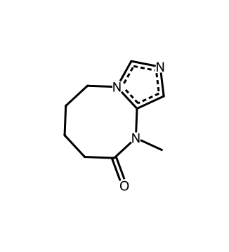 CN1C(=O)CCCCn2cncc21